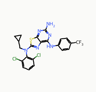 Nc1nc(Nc2ccc(C(F)(F)F)cc2)c2nc(N(CC3CC3)c3c(Cl)cccc3Cl)sc2n1